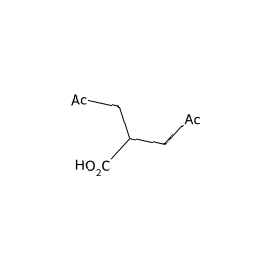 CC(=O)CC(CC(C)=O)C(=O)O